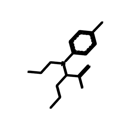 C=C(C)C(CCC)N(CCC)c1ccc(C)cc1